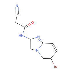 N#CCC(=O)Nc1cn2cc(Br)ccc2n1